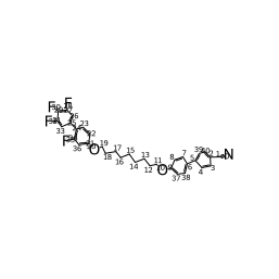 N#Cc1ccc(-c2ccc(OCCCCCCCCCOc3ccc(-c4cc(F)c(F)c(F)c4)c(F)c3)cc2)cc1